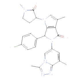 Cc1cn(C2CCN(C)C2=O)c2c1C(=O)N(c1cc(C)c3nnc(C)n3c1)C2c1ccc(Cl)cc1